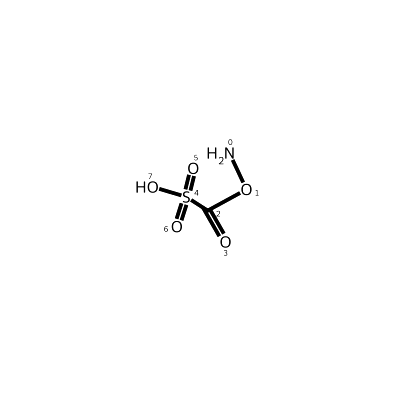 NOC(=O)S(=O)(=O)O